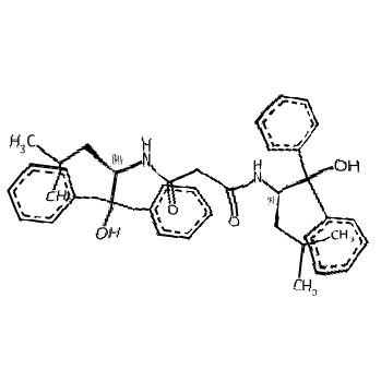 CC(C)C[C@@H](NC(=O)CC(=O)N[C@H](CC(C)C)C(O)(c1ccccc1)c1ccccc1)C(O)(c1ccccc1)c1ccccc1